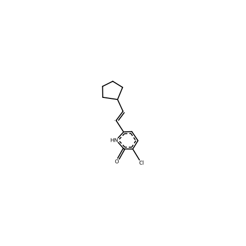 O=c1[nH]c([C]=CC2CCCC2)ccc1Cl